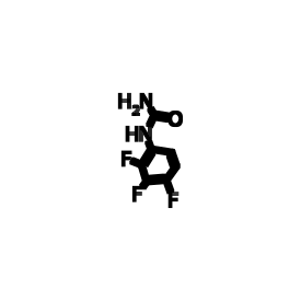 NC(=O)Nc1ccc(F)c(F)c1F